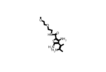 COCCOCCNC(=O)c1sc(N)c(/C(C)=C(/C)N)c1N